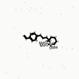 C=Cc1ccc(CCCC2(OC)CCCC[Si]2(OC)OC)cc1